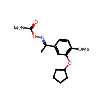 CNC(=O)O/N=C(\C)c1ccc(OC)c(OC2CCCC2)c1